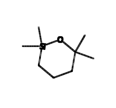 CC1(C)CCC[Si](C)(C)O1